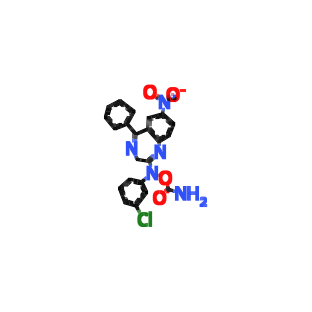 NC(=O)ON(C1=Nc2ccc([N+](=O)[O-])cc2C(c2ccccc2)=NC1)c1cccc(Cl)c1